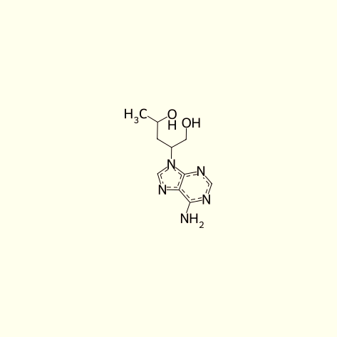 CC(O)CC(CO)n1cnc2c(N)ncnc21